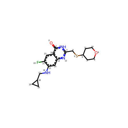 O=c1[nH]c(CSC2CCOCC2)nc2cc(NCC3CC3)c(F)cc12